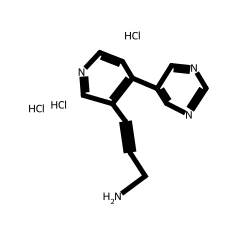 Cl.Cl.Cl.NCC#Cc1cnccc1-c1cncnc1